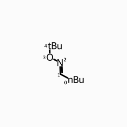 CCCCC=NOC(C)(C)C